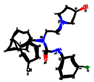 N#Cc1cccc([C@]23CC[C@@H](N(CCN4CC[C@@H](O)C4)C(=O)Nc4cccc(Br)c4)CC2C3)c1